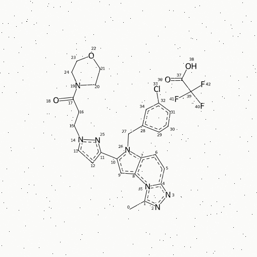 Cc1nnc2ccc3c(cc(-c4ccn(CCC(=O)N5CCOCC5)n4)n3Cc3cccc(Cl)c3)n12.O=C(O)C(F)(F)F